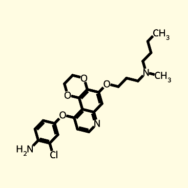 CCCCN(C)CCCOc1cc2nccc(Oc3ccc(N)c(Cl)c3)c2c2c1OCCO2